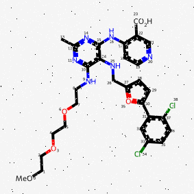 COCCOCCOCCNc1nc(C)nc(Nc2ccncc2C(=O)O)c1NCc1ccc(-c2cc(Cl)ccc2Cl)o1